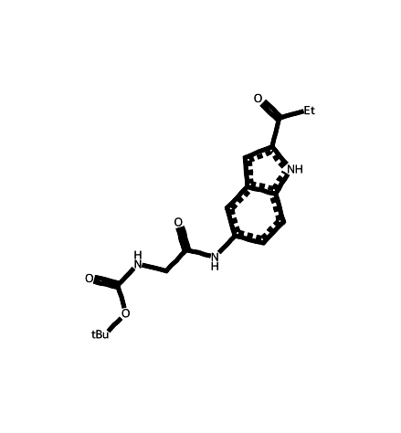 CCC(=O)c1cc2cc(NC(=O)CNC(=O)OC(C)(C)C)ccc2[nH]1